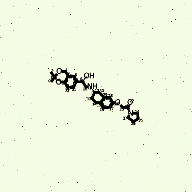 CC1(C)OCc2cc([C@H](O)CN[C@H]3CCc4ccc(OCC(=O)N5CCCC5)cc4C3)ccc2O1